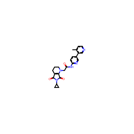 Cc1ccncc1-c1ccc(NC(=O)CN2CCCC3=C2C(=O)N(C2CC2)C3=O)nc1